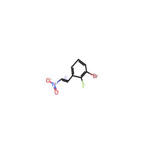 O=[N+]([O-])/C=C/c1cccc(Br)c1F